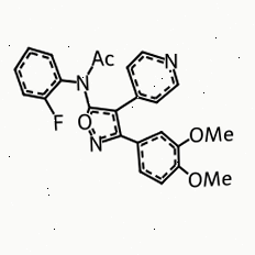 COc1ccc(-c2noc(N(C(C)=O)c3ccccc3F)c2-c2ccncc2)cc1OC